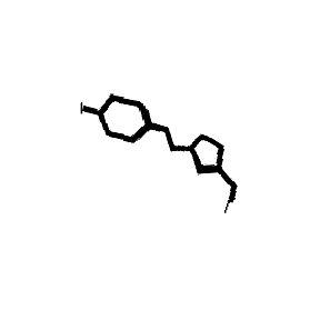 ICC1CCC(CCC2CCC(I)CC2)C1